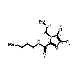 CCOCn1c(C(=O)NCCCOC)nc(Cl)c1Cl